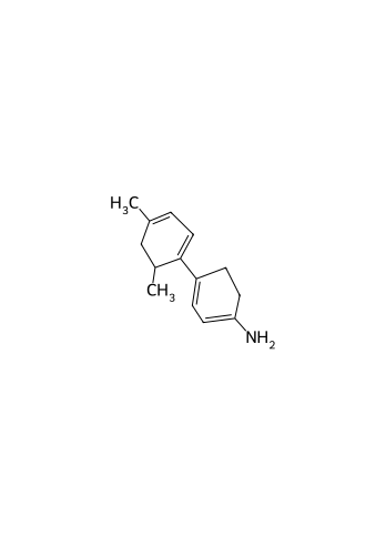 CC1=CC=C(C2=CC=C(N)CC2)C(C)C1